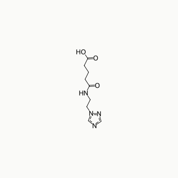 O=C(O)CCCC(=O)NCCn1cncn1